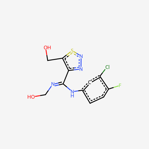 OC/N=C(\Nc1ccc(F)c(Cl)c1)c1nnsc1CO